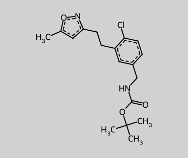 Cc1cc(CCc2cc(CNC(=O)OC(C)(C)C)ccc2Cl)no1